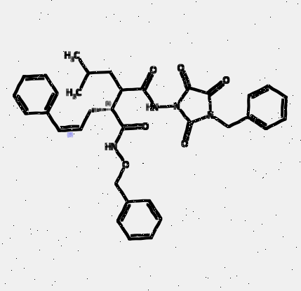 CC(C)CC(C(=O)NN1C(=O)C(=O)N(Cc2ccccc2)C1=O)[C@@H](C/C=C\c1ccccc1)C(=O)NOCc1ccccc1